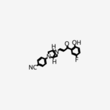 N#Cc1ccc(N2C[C@H]3C[C@@H]2CN3/C=C/C(=O)c2cc(F)ccc2O)cc1